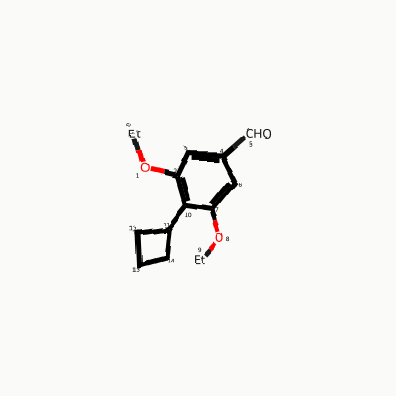 CCOc1cc(C=O)cc(OCC)c1C1CCC1